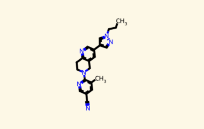 CCCn1cc(-c2cnc3c(c2)CN(c2ncc(C#N)cc2C)CC3)cn1